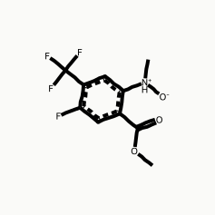 COC(=O)c1cc(F)c(C(F)(F)F)cc1[NH+](C)[O-]